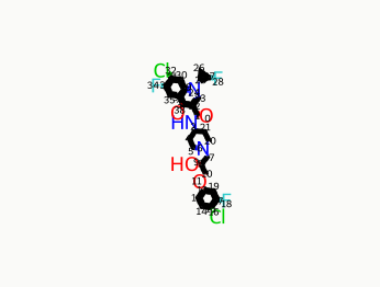 O=C(NC1CCN(CC(O)COc2ccc(Cl)c(F)c2)CC1)c1cn(C2CC2F)c2cc(Cl)c(F)cc2c1=O